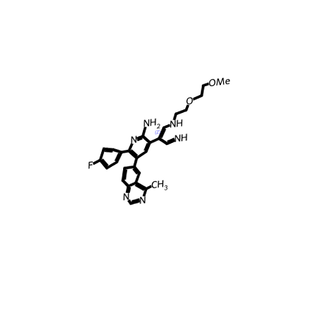 COCCOCCN/C=C(\C=N)c1cc(-c2ccc3ncnc(C)c3c2)c(-c2ccc(F)cc2)nc1N